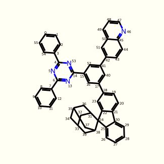 c1ccc(-c2nc(-c3ccccc3)nc(-c3cc(-c4ccc5c(c4)C4(c6ccccc6-5)C5CC6CC(C5)CC4C6)cc(-c4ccc5ncccc5c4)c3)n2)cc1